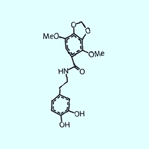 COc1cc(C(=O)NCCc2ccc(O)c(O)c2)c(OC)c2c1OCO2